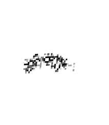 CC(C)(C)C1CN(Cc2cc3ccc(CNC(=O)c4cc(=O)n5ccccc5n4)cc3[nH]2)C1